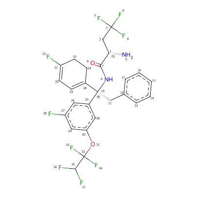 N[C@@H](CC(F)(F)F)C(=O)N[C@](Cc1ccccc1)(C1=CC=C(F)CC1)c1cc(F)cc(OC(F)(F)C(F)F)c1